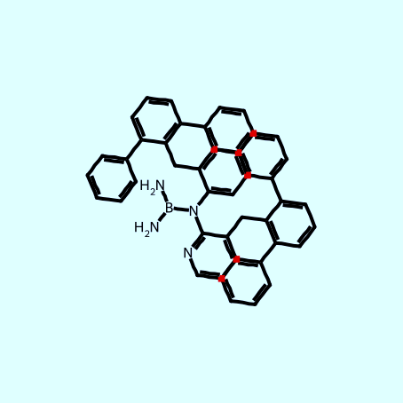 NB(N)N(c1ccccc1Cc1c(-c2ccccc2)cccc1-c1ccccc1)c1ncccc1Cc1c(-c2ccccc2)cccc1-c1ccccc1